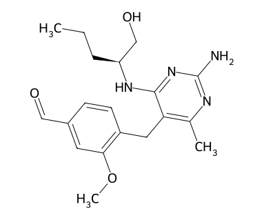 CCC[C@@H](CO)Nc1nc(N)nc(C)c1Cc1ccc(C=O)cc1OC